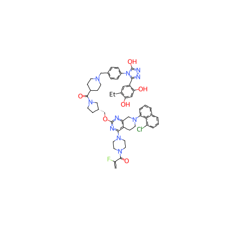 C=C(F)C(=O)N1CCN(c2nc(OC[C@@H]3CCN(C(=O)C4CCN(Cc5ccc(-n6c(O)nnc6-c6cc(CC)c(O)cc6O)cc5)CC4)C3)nc3c2CCN(c2cccc4cccc(Cl)c24)C3)CC1